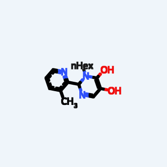 CCCCCCN1C(O)=C(O)C=NC1c1ncccc1C